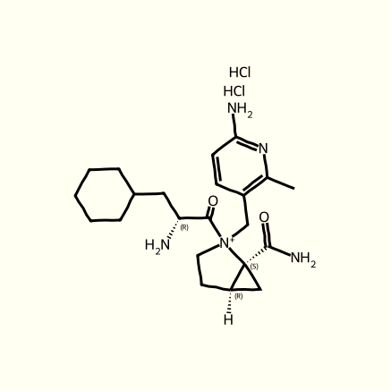 Cc1nc(N)ccc1C[N+]1(C(=O)[C@H](N)CC2CCCCC2)CC[C@@H]2C[C@@]21C(N)=O.Cl.Cl